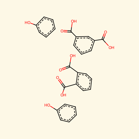 O=C(O)c1cccc(C(=O)O)c1.O=C(O)c1ccccc1C(=O)O.Oc1ccccc1.Oc1ccccc1